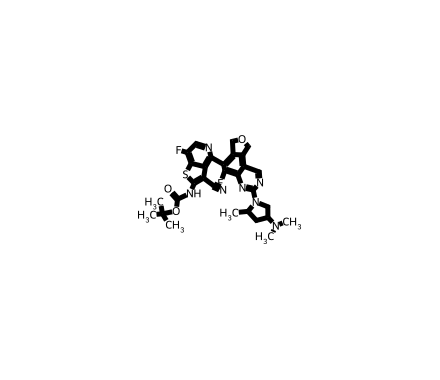 CC1CC(N(C)C)CN1c1ncc2c3c(c(-c4ncc(F)c5sc(NC(=O)OC(C)(C)C)c(C#N)c45)c(F)c2n1)COC3